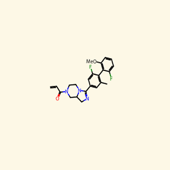 C=CC(=O)N1CCN2C(c3cc(C)c(-c4c(F)cccc4OC)c(F)c3)=NCC2C1